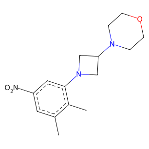 Cc1cc([N+](=O)[O-])cc(N2CC(N3CCOCC3)C2)c1C